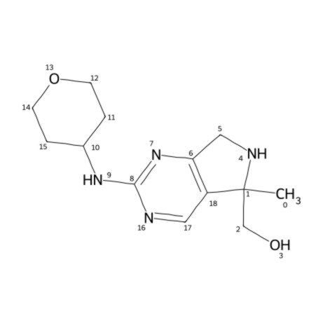 CC1(CO)NCc2nc(NC3CCOCC3)ncc21